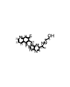 CC(=NOCCO)c1cnc2nnn(Cc3c(F)cc4ncccc4c3F)c2n1